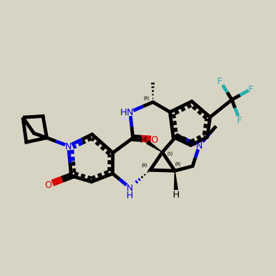 C[C@@H](NC(=O)c1cn(C23CC(C2)C3)c(=O)cc1N[C@@H]1[C@@H]2CN(C)C[C@@H]21)c1cccc(C(F)(F)F)c1